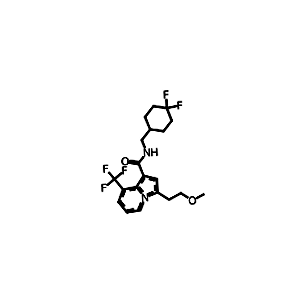 COCCc1cc(C(=O)NCC2CCC(F)(F)CC2)c2c(C(F)(F)F)cccn12